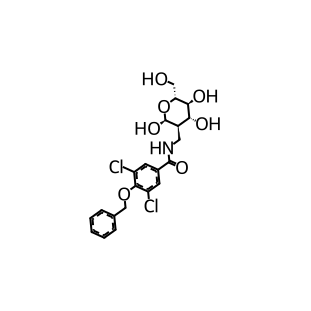 O=C(NC[C@@H]1[C@@H](O)[C@H](O)[C@@H](CO)O[C@@H]1O)c1cc(Cl)c(OCc2ccccc2)c(Cl)c1